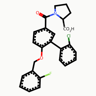 O=C(O)C1CCCN1C(=O)c1ccc(OCc2ccccc2F)c(-c2ccccc2Cl)c1